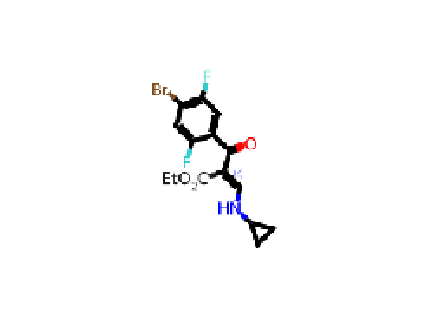 CCOC(=O)/C(=C\NC1CC1)C(=O)c1cc(F)c(Br)cc1F